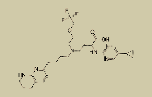 O=C(O)[C@H](CCN(CCCCc1ccc2c(n1)NCCC2)CCOCC(F)(F)F)Nc1ncc(C2CC2)cn1